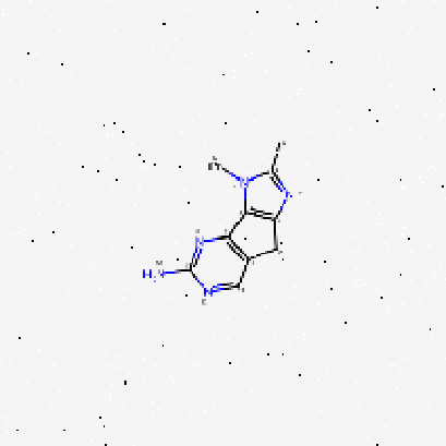 Cc1nc2c(n1C(C)C)-c1nc(N)ncc1C2